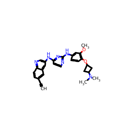 C#Cc1ccc2ncc(Nc3ccnc(Nc4ccc(OC5CC(N(C)C)C5)c(OC)c4)n3)cc2c1